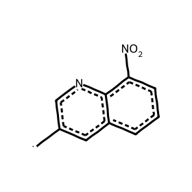 [CH2]c1cnc2c([N+](=O)[O-])cccc2c1